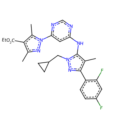 CCOC(=O)c1c(C)nn(-c2cc(Nc3c(C)c(-c4ccc(F)cc4F)nn3CC3CC3)ncn2)c1C